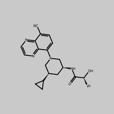 CC(C)[C@H](O)C(=O)N[C@H]1C[C@@H](C2CC2)CN(c2ccc(C#N)c3nccnc23)C1